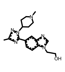 Cc1nc(-c2ccc3c(c2)ncn3CCO)n(C2CCN(C)CC2)n1